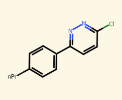 CCCc1ccc(-c2ccc(Cl)nn2)cc1